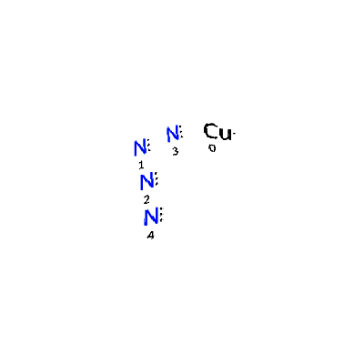 [Cu].[N].[N].[N].[N]